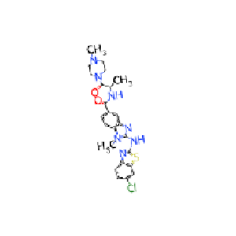 C[C@@H](NC(=O)c1ccc2c(c1)nc(Nc1nc3ccc(Cl)cc3s1)n2C)C(=O)N1CCN(C)CC1